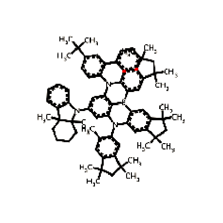 Cc1cc2c(cc1N1c3cc4c(cc3B3c5cc6c(cc5N(c5ccc(C(C)(C)C)cc5-c5ccccc5)c5cc(N7c8ccccc8C8(C)CCCCC78C)cc1c53)C(C)(C)CC6(C)C)C(C)(C)CC4(C)C)C(C)(C)CC2(C)C